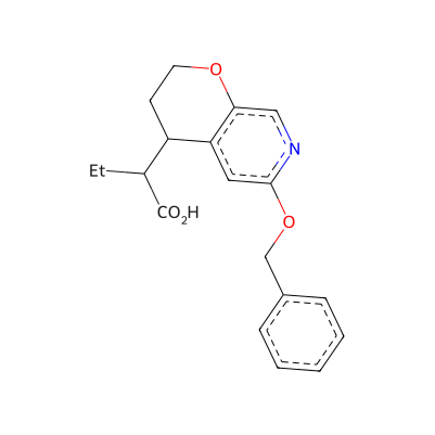 CCC(C(=O)O)C1CCOc2cnc(OCc3ccccc3)cc21